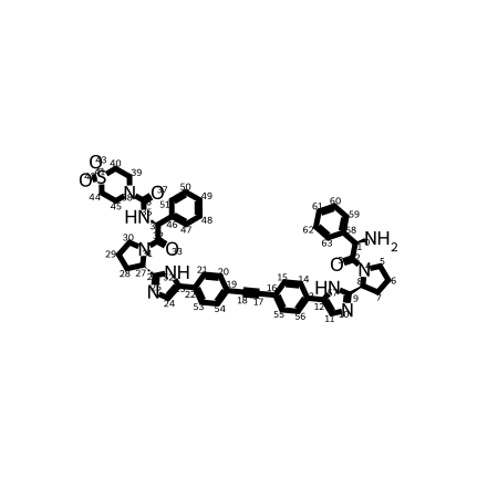 N[C@@H](C(=O)N1CCC[C@H]1c1ncc(-c2ccc(C#Cc3ccc(-c4cnc([C@@H]5CCCN5C(=O)[C@H](NC(=O)N5CCS(=O)(=O)CC5)c5ccccc5)[nH]4)cc3)cc2)[nH]1)c1ccccc1